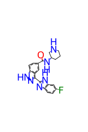 O=C(N[C@@H]1CCCNC1)c1ccc2[nH]nc(-c3nc4ccc(F)cc4[nH]3)c2c1